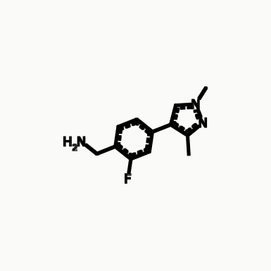 Cc1nn(C)cc1-c1ccc(CN)c(F)c1